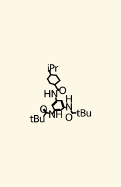 CC(C)C1CCC(C(=O)Nc2cc(NC(=O)C(C)(C)C)cc(NC(=O)C(C)(C)C)c2)CC1